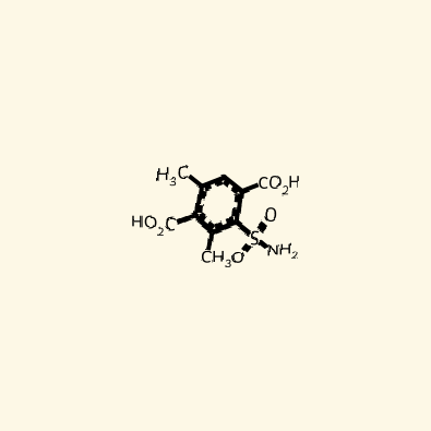 Cc1cc(C(=O)O)c(S(N)(=O)=O)c(C)c1C(=O)O